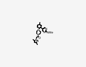 CNc1ncc(-c2cc(C)ccc2N2CCN(C(=O)Cn3nc(C)cc3C)CC2)cn1